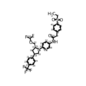 CCS(=O)(=O)c1ccc(CC(=O)Nc2ccc(N3CC(c4ccc(C(F)(F)F)cc4)C[C@H]3COC(F)F)nc2)cc1